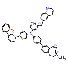 C=C/C(=C\C=C\C1C=c2cccnc2=CC1)N(C1=CC=C(c2ccc3c(c2)/C=C\C=C(/C)CC3)CC1)c1ccc(C2CC=Cc3c2sc2ccccc32)cc1